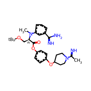 CC(=N)N1CCC(Oc2ccc(OC(=O)[C@@H](COC(C)(C)C)N(C)c3cccc(C(=N)N)c3)cc2)CC1